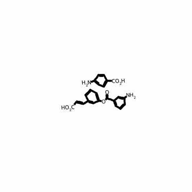 Nc1ccc(C(=O)O)cc1.Nc1cccc(C(=O)Oc2cccc(C=CC(=O)O)c2)c1